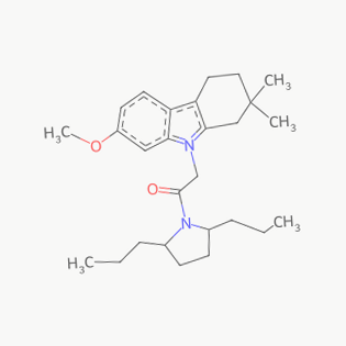 CCCC1CCC(CCC)N1C(=O)Cn1c2c(c3ccc(OC)cc31)CCC(C)(C)C2